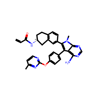 C=CC(=O)N[C@@H]1CCc2ccc(-c3c(-c4ccc(Oc5nccc(C)n5)cc4)c4c(N)ncnc4n3C)cc2C1